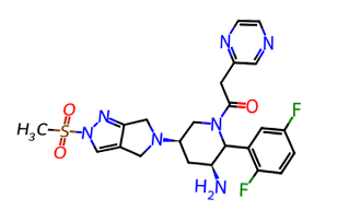 CS(=O)(=O)n1cc2c(n1)CN([C@@H]1C[C@H](N)C(c3cc(F)ccc3F)N(C(=O)Cc3cnccn3)C1)C2